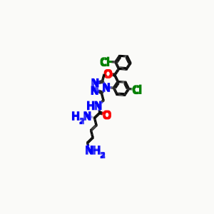 Cc1nnc(CNC(=O)[C@@H](N)CCCCN)n1-c1ccc(Cl)cc1C(=O)c1ccccc1Cl